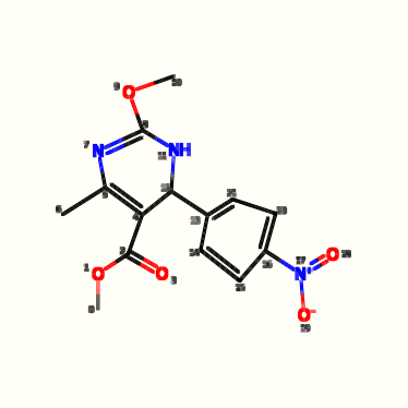 COC(=O)C1=C(C)N=C(OC)NC1c1ccc([N+](=O)[O-])cc1